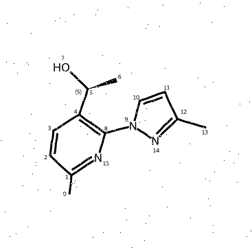 Cc1ccc([C@H](C)O)c(-n2ccc(C)n2)n1